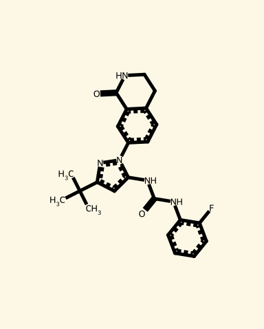 CC(C)(C)c1cc(NC(=O)Nc2ccccc2F)n(-c2ccc3c(c2)C(=O)NCC3)n1